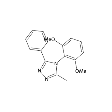 COc1cccc(OC)c1-n1c(C)nnc1-c1ccccc1